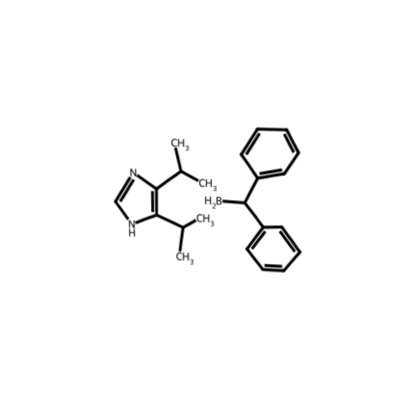 BC(c1ccccc1)c1ccccc1.CC(C)c1nc[nH]c1C(C)C